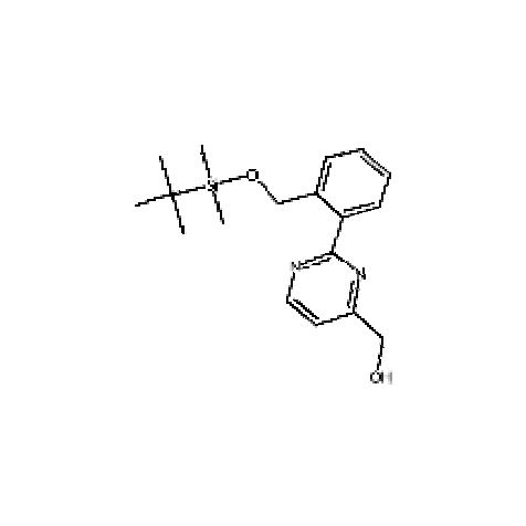 CC(C)(C)[Si](C)(C)OCc1ccccc1-c1nccc(CO)n1